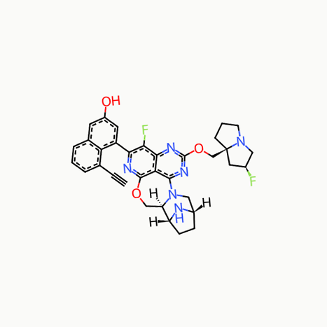 C#Cc1cccc2cc(O)cc(-c3nc4c5c(nc(OC[C@@]67CCCN6C[C@@H](F)C7)nc5c3F)N3C[C@@H]5CC[C@@H](N5)[C@H]3CO4)c12